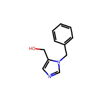 OCc1cncn1Cc1ccccc1